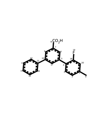 Cc1ccc(-c2cc(C(=O)O)cc(-c3ccccc3)c2)c(F)c1